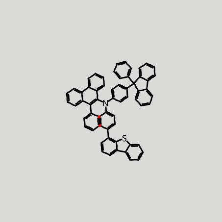 c1ccc(-c2c(N(c3ccc(-c4cccc5c4sc4ccccc45)cc3)c3ccc(C4(c5ccccc5)c5ccccc5-c5ccccc54)cc3)c3ccccc3c3ccccc23)cc1